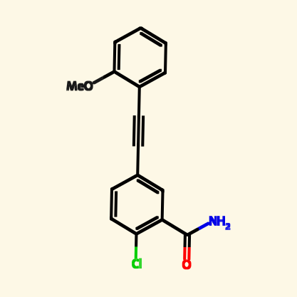 COc1ccccc1C#Cc1ccc(Cl)c(C(N)=O)c1